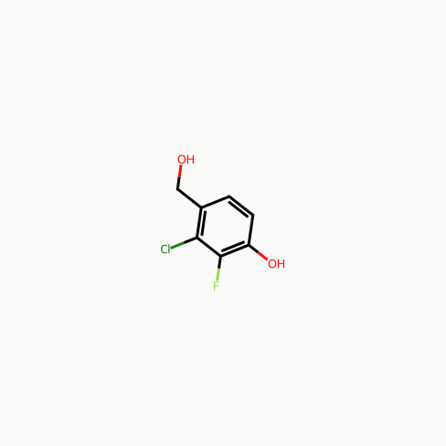 OCc1ccc(O)c(F)c1Cl